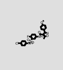 COc1ccc(-c2noc(C)c2C(=O)Nc2ccc(F)c(S(=O)(=O)Nc3ccc(Cl)cc3)c2)cc1